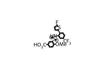 COc1ccc(C(=O)O)cc1S(=O)(=O)Nc1cc(C(F)(F)F)ccc1-c1ccc(F)s1